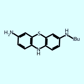 CCC(C)Nc1ccc2c(c1)Sc1cc(N)ccc1N2